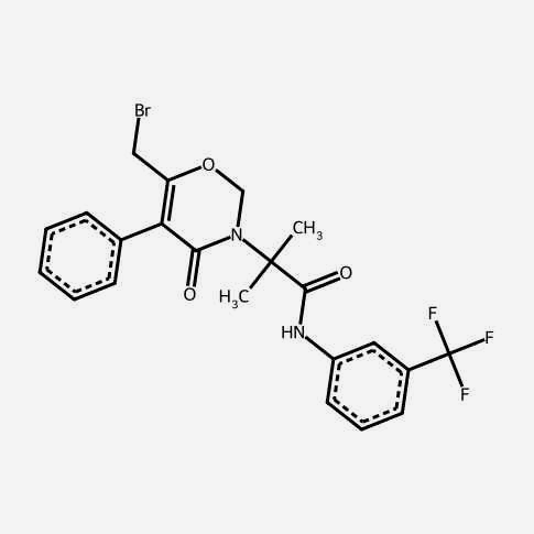 CC(C)(C(=O)Nc1cccc(C(F)(F)F)c1)N1COC(CBr)=C(c2ccccc2)C1=O